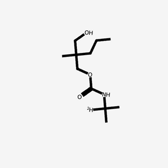 [2H]C(C)(C)NC(=O)OCC(C)(CO)CCC